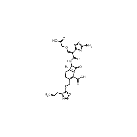 C=CCn1nnnc1SCC1=C(C(=O)O)N2C(=O)C(NC(=O)C(=NOCC(=O)O)c3nsc(N)n3)[C@@H]2SC1